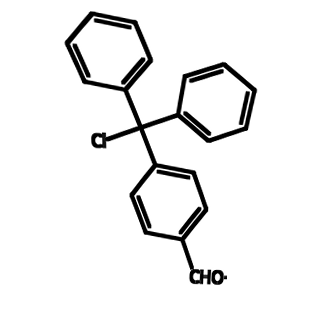 O=[C]c1ccc(C(Cl)(c2ccccc2)c2ccccc2)cc1